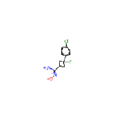 N/C(=N\O)C1CC(F)(c2ccc(Cl)cc2)C1